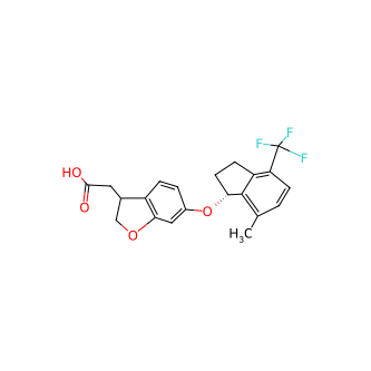 Cc1ccc(C(F)(F)F)c2c1[C@H](Oc1ccc3c(c1)OCC3CC(=O)O)CC2